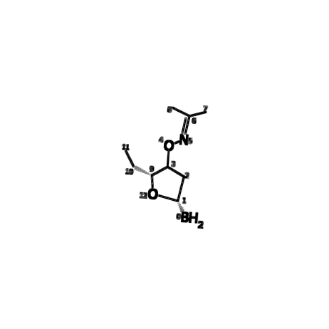 B[C@H]1CC(ON=C(C)C)[C@@H](CC)O1